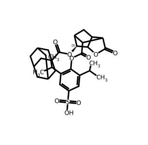 CC(C)c1cc(S(=O)(=O)O)cc(C(C)C)c1OC(=O)C1C2C(=O)OC3C2CC1[C@@H]3OC(=O)C12CC3CC(CC(C3)C1)C2